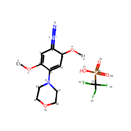 CCOC1=CC(=[N+]=[N-])C(OCC)C=C1N1CCOCC1.O=S(=O)(O)C(F)(F)F